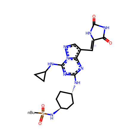 CCCCS(=O)(=O)N[C@H]1CC[C@H](Nc2nc(NC3CC3)n3ncc(/C=C4\NC(=O)NC4=O)c3n2)CC1